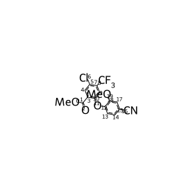 COC(=O)c1cc(Cl)c(C(F)(F)F)cc1Oc1ccc(C#N)cc1OC